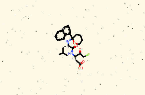 CC(C)C[C@H](NC1(c2cccc3ccccc23)CCCCO1)C(=O)N[C@@H](CC(=O)O)C(=O)CF